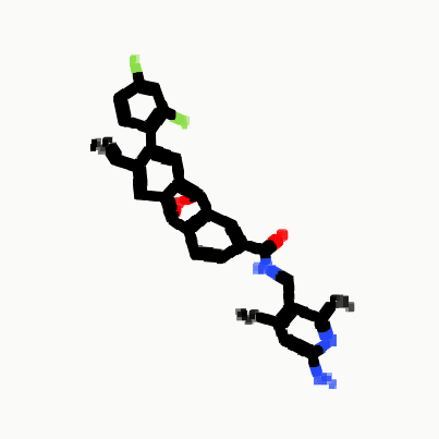 C=Cc1cc2c(cc1-c1ccc(F)cc1F)c1oc2c2ccc(C(=O)NCc3c(C)cc(N)nc3C)cc21